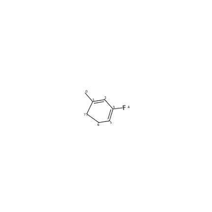 CC1=CC(F)=CC[CH]1